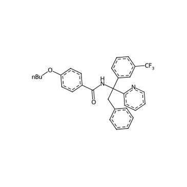 CCCCOc1ccc(C(=O)NC(Cc2ccccc2)(c2cccc(C(F)(F)F)c2)c2ccccn2)cc1